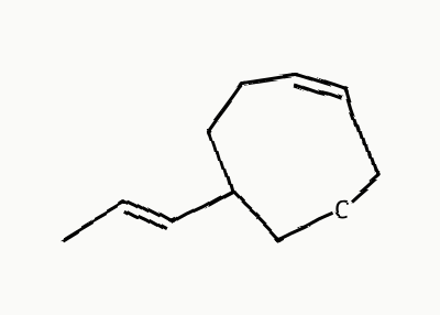 CC=CC1CCC=CCCC1